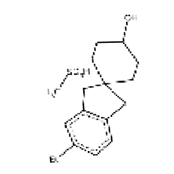 CCc1ccc2c(c1)CC1(CCC(O)CC1)C2.CS(=O)(=O)O